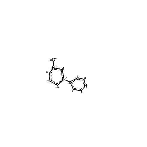 [O-][n+]1[c]c(-c2ccncc2)ccc1